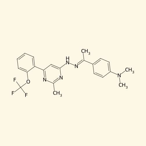 C/C(=N\Nc1cc(-c2ccccc2OC(F)(F)F)nc(C)n1)c1ccc(N(C)C)cc1